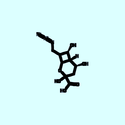 [N-]=[N+]=NCC1C2OC(O)(C(=O)O)C[C@@H](O)[C@H]2[C@H]1O